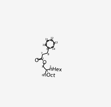 CCCCCCCCC(CCCCCC)COC(=O)CCc1ccccc1